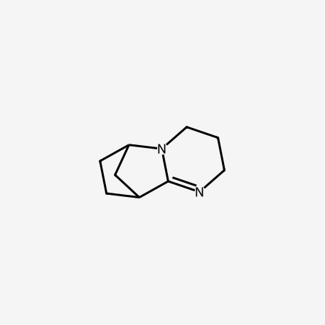 C1CN=C2C3CCC(C3)N2C1